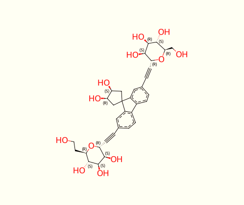 OCC[C@H]1O[C@H](C#Cc2ccc3c(c2)C2(C[C@@H](O)[C@@H](O)C2)c2cc(C#C[C@H]4O[C@H](CO)[C@@H](O)[C@H](O)[C@@H]4O)ccc2-3)[C@@H](O)[C@@H](O)[C@@H]1O